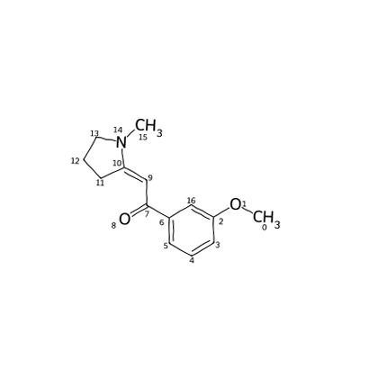 COc1cccc(C(=O)C=C2CCCN2C)c1